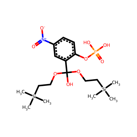 C[Si](C)(C)CCOC(O)(OCC[Si](C)(C)C)c1cc([N+](=O)[O-])ccc1OP(=O)(O)O